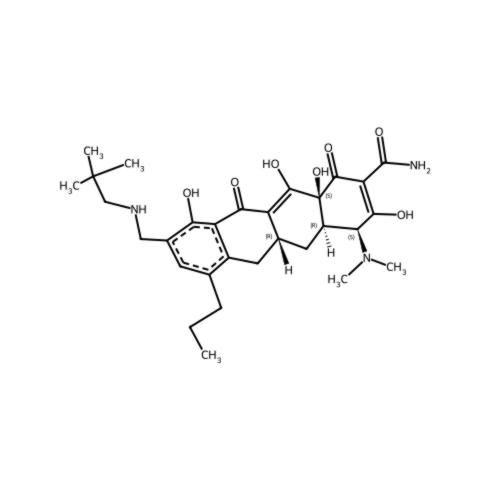 CCCc1cc(CNCC(C)(C)C)c(O)c2c1C[C@H]1C[C@@H]3[C@H](N(C)C)C(O)=C(C(N)=O)C(=O)[C@@]3(O)C(O)=C1C2=O